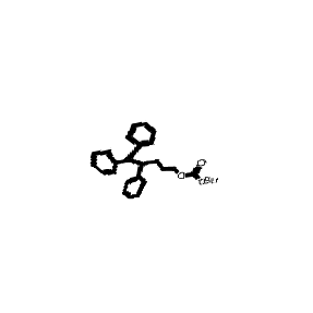 CC(C)(C)C(=O)OCCCC([C](c1ccccc1)c1ccccc1)c1ccccc1